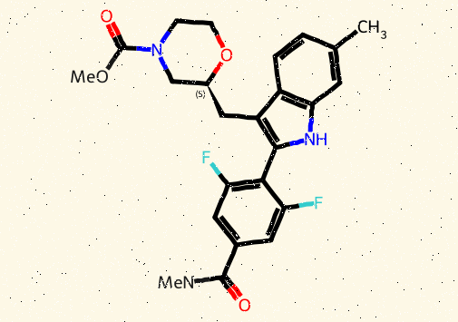 CNC(=O)c1cc(F)c(-c2[nH]c3cc(C)ccc3c2C[C@H]2CN(C(=O)OC)CCO2)c(F)c1